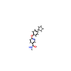 CNC(=O)c1ccc(Oc2ccc(C3CCCC3)cc2)nc1